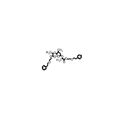 C=C(CC(=O)OC(C)C(=O)OCCOCCc1ccccc1)C(=O)OC(C)C(=O)OCCOCCc1ccccc1